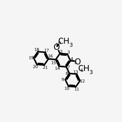 COc1cc(OC)c(-c2ccccc2)cc1-c1ccccc1